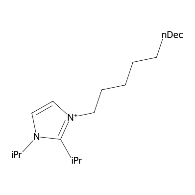 CCCCCCCCCCCCCCC[n+]1ccn(C(C)C)c1C(C)C